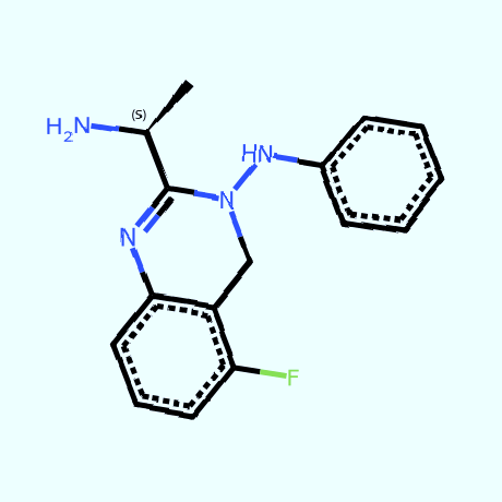 C[C@H](N)C1=Nc2cccc(F)c2CN1Nc1ccccc1